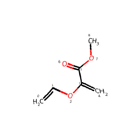 C=COC(=C)C(=O)OC